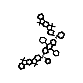 CC1(C)c2ccccc2-c2cc3c(cc21)-c1ccc(N(c2ccccc2)c2ccc4c(C5CCCCC5)c5cc(N(c6ccccc6)c6ccc7c(c6)C(C)(C)c6cc8c(cc6-7)C(C)(C)c6ccccc6-8)ccc5c(C5CCCCC5)c4c2)cc1C3(C)C